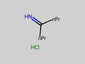 CCCC(=N)CCC.Cl